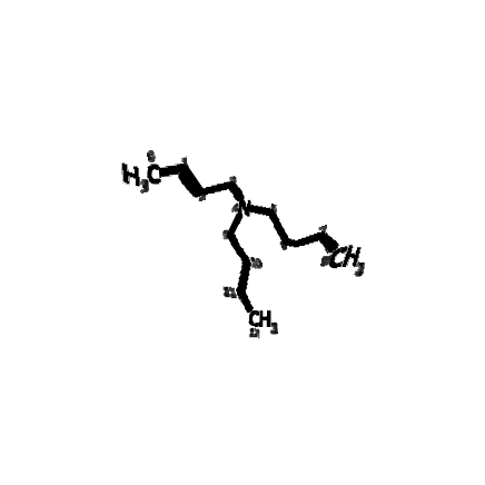 CC=CCN(CCCC)CCCC